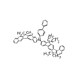 CC1(C)c2cc(N(c3ccc(-c4ccccc4)cc3)c3ccc4cc5c(cc4c3)C(C)(C)c3cc4ccccc4cc3-5)ccc2-c2cc3c(cc21)-c1c(ccc2ccccc12)C3(C)C